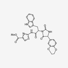 COC(=O)c1csc(NC(=O)C(Cc2c[nH]c3ccccc23)N2C(=O)NC(c3ccc4c(c3)OCCO4)C2=O)n1